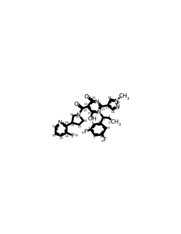 CCC(c1cc(F)cc(F)c1)n1c(-c2cnn(C)c2)nc(=O)c(C(=O)N2CCC(c3ncccc3F)C2)c1O